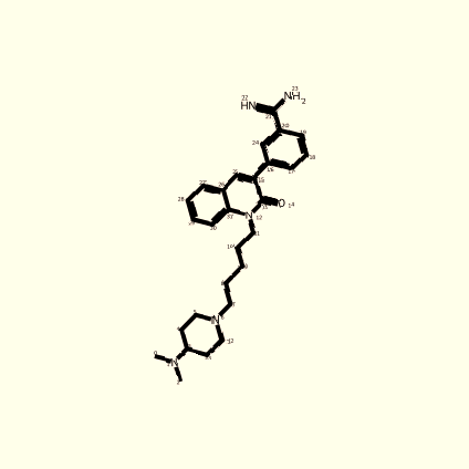 CN(C)C1CCN(CCCCCn2c(=O)c(-c3cccc(C(=N)N)c3)cc3ccccc32)CC1